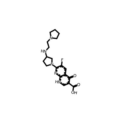 O=C(O)c1c[nH]c2nc(N3CCC(NCCN4CCCC4)C3)c(F)cc2c1=O